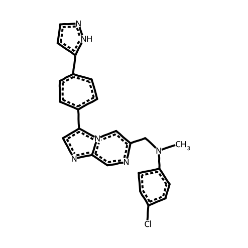 CN(Cc1cn2c(-c3ccc(-c4ccn[nH]4)cc3)cnc2cn1)c1ccc(Cl)cc1